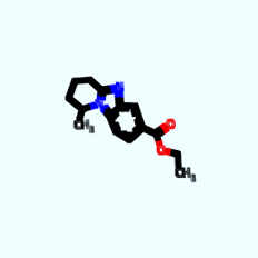 CCOC(=O)c1ccc2c(c1)nc1n2C(C)CCC1